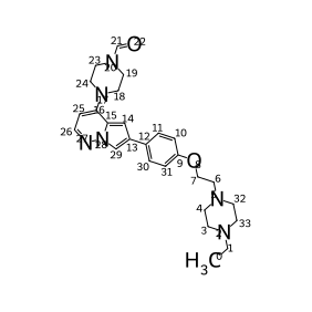 CCN1CCN(CCOc2ccc(-c3cc4c(N5CCN(C=O)CC5)ccnn4c3)cc2)CC1